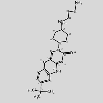 CC(C)(C)c1ccc2c(c1)Nc1nc(=O)n([C@H]3CC[C@H](NCCCN)CC3)cc1O2